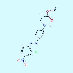 C=COC(=O)C(C)CN(CC)c1ccc(/N=N/c2ccc([N+](=O)[O-])cc2Cl)cc1